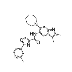 Cc1cc(-c2nc(C(=O)Nc3cc4c(C)n(C)nc4cc3N3CCCCCC3)co2)ccn1